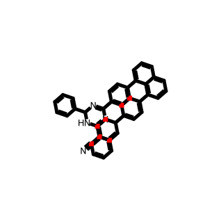 N#CC1=CCC(C2=CC=C(c3cccc4cccc(-c5ccc(C6=NC(c7ccccc7)NC(c7ccccc7)=N6)cc5)c34)CC2)C=C1